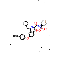 CC(C)(C)c1ccc(Oc2ccc3cc(C(=O)N4C(O)(O)C45CCSCC5)nc(CC4CCCC4)c3c2)cc1